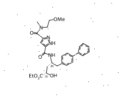 CCOC(=O)[C@@H](O)C[C@@H](Cc1ccc(-c2ccccc2)cc1)NC(=O)c1cc(C(=O)N(C)CCOC)n[nH]1